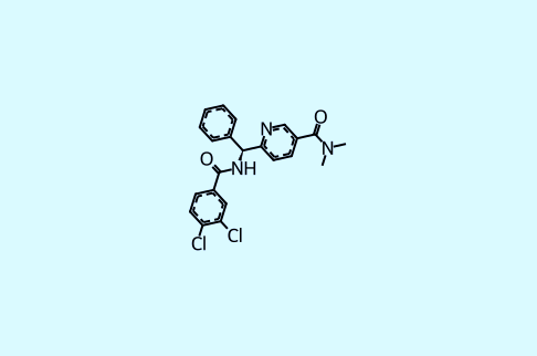 CN(C)C(=O)c1ccc([C@@H](NC(=O)c2ccc(Cl)c(Cl)c2)c2ccccc2)nc1